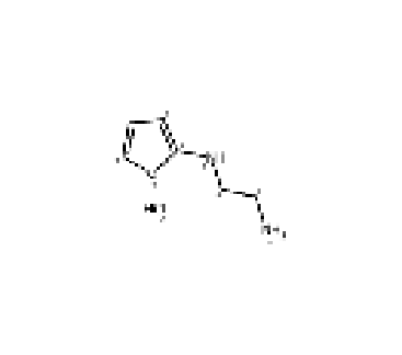 Cl.NCCNc1ccco1